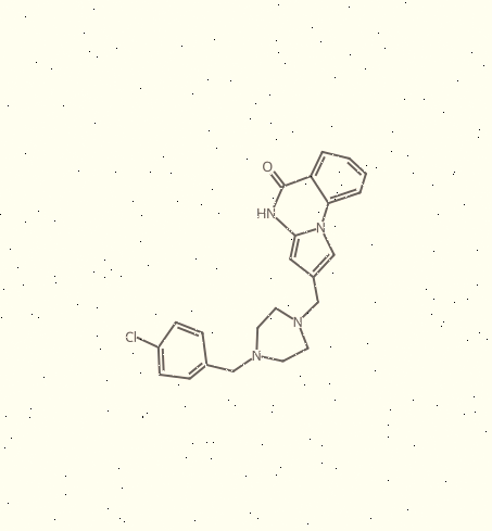 O=c1[nH]c2cc(CN3CCN(Cc4ccc(Cl)cc4)CC3)cn2c2ccccc12